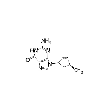 C[C@@H]1C=C[C@H](n2cnc3c(=O)[nH]c(N)nc32)C1